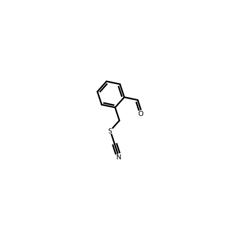 N#CSCc1ccccc1C=O